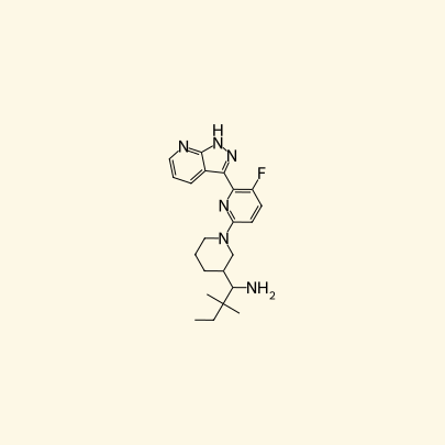 CCC(C)(C)C(N)C1CCCN(c2ccc(F)c(-c3n[nH]c4ncccc34)n2)C1